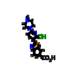 CN1CCN(c2ccc(-c3nc4ccc(C(=O)O)cc4s3)cn2)CC1.Cl